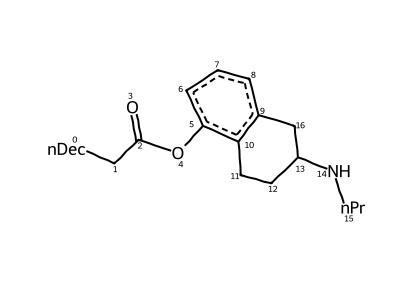 CCCCCCCCCCCC(=O)Oc1cccc2c1CCC(NCCC)C2